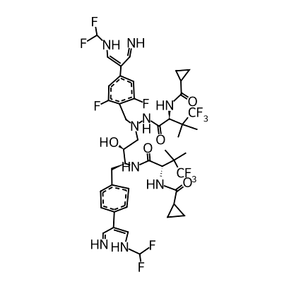 CC(C)([C@H](NC(=O)C1CC1)C(=O)N[C@@H](Cc1ccc(/C(C=N)=C/NC(F)F)cc1)[C@@H](O)CN(Cc1c(F)cc(/C(C=N)=C/NC(F)F)cc1F)NC(=O)[C@@H](NC(=O)C1CC1)C(C)(C)C(F)(F)F)C(F)(F)F